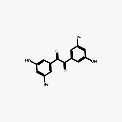 CC(C)c1cc(O)cc(C(=O)C(=O)c2cc(O)cc(C(C)C)c2)c1